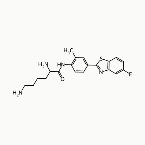 Cc1cc(-c2nc3cc(F)ccc3s2)ccc1NC(=O)C(N)CCCCN